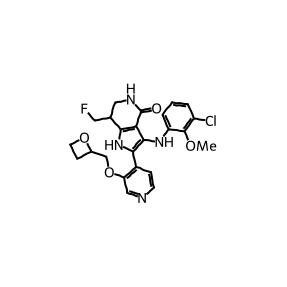 COc1c(Cl)cccc1Nc1c(-c2ccncc2OCC2CCO2)[nH]c2c1C(=O)NCC2CF